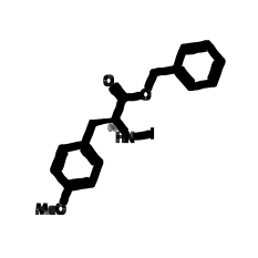 COc1ccc(C[C@H](NI)C(=O)OCc2ccccc2)cc1